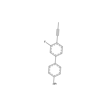 CC#Cc1ccc(-c2ccc(CCC)cc2)cc1F